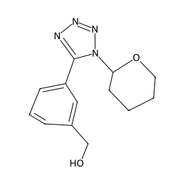 OCc1cccc(-c2nnnn2C2CCCCO2)c1